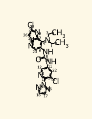 CCN(CC)c1c(NC(=O)Nc2cnc(-n3nccn3)c(Cl)c2)cnn2cc(Cl)nc12